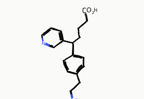 NCCc1ccc(C(CCCC(=O)O)c2cccnc2)cc1